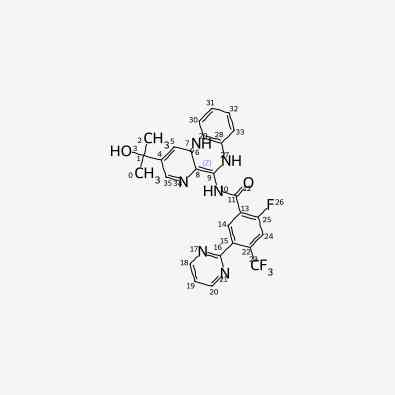 CC(C)(O)C1=CC(=N)/C(=C(/NC(=O)c2cc(-c3ncccn3)c(C(F)(F)F)cc2F)Nc2ccccc2)N=C1